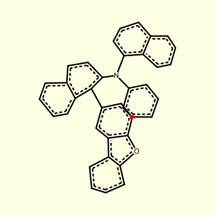 c1ccc(N(c2ccc3ccccc3c2-c2ccc3oc4ccccc4c3c2)c2cccc3ccccc23)cc1